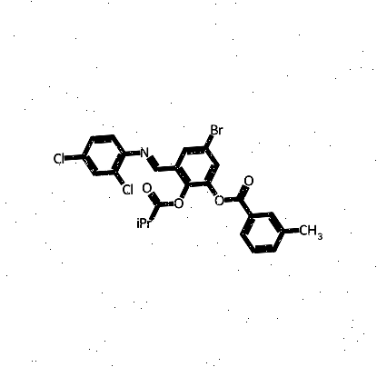 Cc1cccc(C(=O)Oc2cc(Br)cc(C=Nc3ccc(Cl)cc3Cl)c2OC(=O)C(C)C)c1